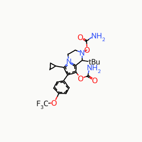 CC(C)(C)C1c2c(OC(N)=O)c(-c3ccc(OC(F)(F)F)cc3)c(C3CC3)n2CCN1OC(N)=O